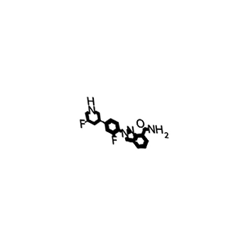 NC(=O)c1cccc2cn(-c3ccc([C@@H]4CNC[C@@H](F)C4)cc3F)nc12